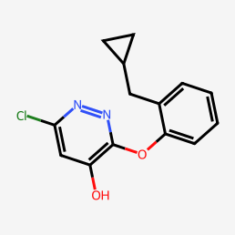 Oc1cc(Cl)nnc1Oc1ccccc1CC1CC1